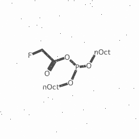 CCCCCCCCOP(OCCCCCCCC)OC(=O)CF